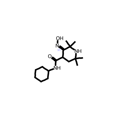 CC1(C)CC(C(=O)NC2CCCCC2)/C(=N/O)C(C)(C)N1